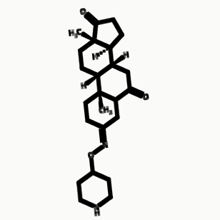 C[C@]12CC/C(=N\OC3CCNCC3)CC1C(=O)C[C@@H]1[C@H]2CC[C@]2(C)C(=O)CC[C@@H]12